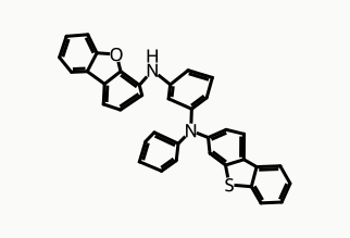 c1ccc(N(c2cccc(Nc3cccc4c3oc3ccccc34)c2)c2ccc3c(c2)sc2ccccc23)cc1